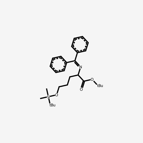 CC(C)(C)OC(=O)C(CCCO[Si](C)(C)C(C)(C)C)N=C(c1ccccc1)c1ccccc1